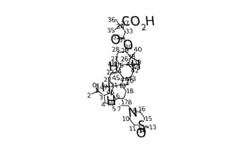 C=C(C)[C@@H]1CC[C@]2(CCN3CCS(=C)(=O)CC3)CC[C@]3(C)[C@H](CC[C@@H]4[C@@]5(C)CC[C@H](OC(=O)CC(C)(C)C(=O)O)C(C)(C)[C@@H]5CC[C@]43C)[C@@H]12